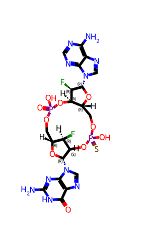 Nc1nc2c(ncn2[C@@H]2O[C@@H]3COP(=O)(O)O[C@H]4[C@@H](F)[C@H](n5cnc6c(N)ncnc65)O[C@@H]4COP(O)(=S)O[C@@H]2[C@@H]3F)c(=O)[nH]1